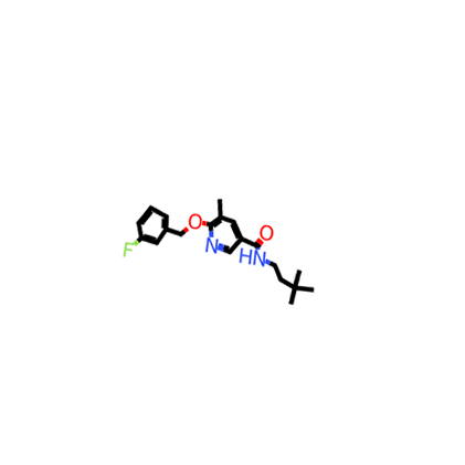 Cc1cc(C(=O)NCCC(C)(C)C)cnc1OCc1cccc(F)c1